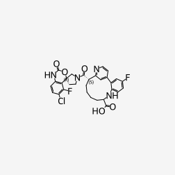 O=C1Nc2ccc(Cl)c(F)c2[C@@]2(CCN(C(=O)[C@H]3CCCCC(C(=O)O)Nc4ccc(F)cc4-c4ccnc3c4)C2)O1